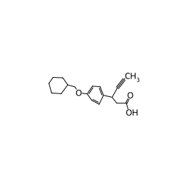 CC#CC(CC(=O)O)c1ccc(OCC2CCCCC2)cc1